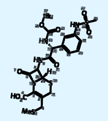 CSCC1=C(C(=O)O)N2C(=O)C(NC(=O)[C@H](NC(=O)OC(C)(C)C)c3cccc(NS(C)(=O)=O)c3)[C@@H]2SC1